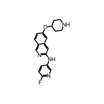 Fc1ccc(Nc2cc3cc(OC4CCNCC4)ccc3cn2)cn1